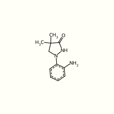 CC1(C)CN(c2ccccc2N)NC1=O